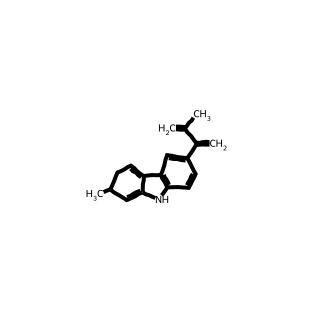 C=C(C)C(=C)c1ccc2[nH]c3c(c2c1)=CCC(C)C=3